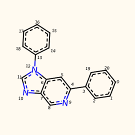 c1ccc(-c2cc3c(cn2)ncn3-c2ccccc2)cc1